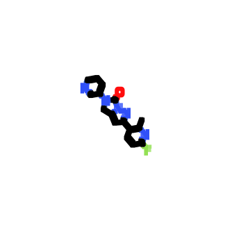 Cc1nc(F)ccc1-c1cc2n(n1)C(=O)N(c1cccnc1)C2